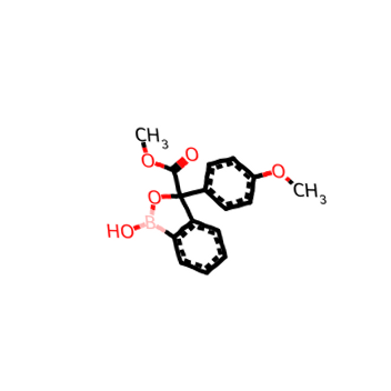 COC(=O)C1(c2ccc(OC)cc2)OB(O)c2ccccc21